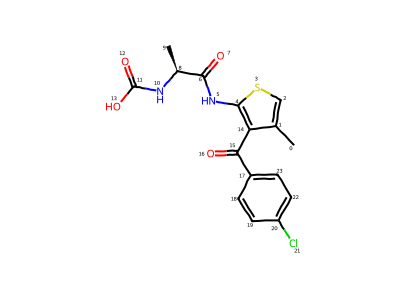 Cc1csc(NC(=O)[C@H](C)NC(=O)O)c1C(=O)c1ccc(Cl)cc1